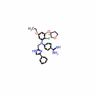 CCOc1cc(O[C@H]2CCOC2)c(F)c(N(Cc2nc(-c3ccccc3)c[nH]2)c2ccc(C(=N)N)cc2)c1